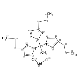 CCCc1ccn(C(C)(n2ccc(CCC)n2)n2ccc(CCC)n2)n1.[Cl][Mn][Cl]